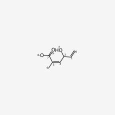 C=CC(O)C=C(C)C([O])=O